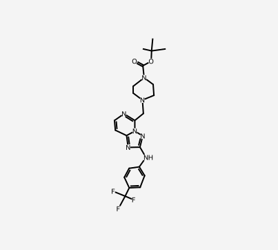 CC(C)(C)OC(=O)N1CCN(Cc2nccc3nc(Nc4ccc(C(F)(F)F)cc4)nn23)CC1